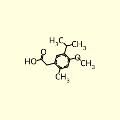 COc1cc(C)c(CC(=O)O)cc1C(C)C